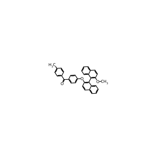 COc1ccc2ccccc2c1-c1c(Oc2ccc(C(=O)c3ccc(C)cc3)cc2)ccc2ccccc12